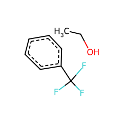 CCO.FC(F)(F)c1ccccc1